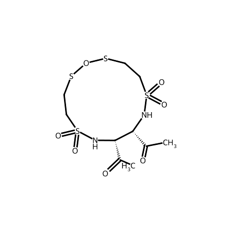 CC(=O)[C@H]1NS(=O)(=O)CCSOSCCS(=O)(=O)N[C@H]1C(C)=O